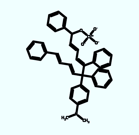 CN(C)c1ccc(C(C=CC=Cc2ccccc2)(C(=CC=CC(O[Cl+3]([O-])([O-])[O-])c2ccccc2)c2ccccc2)c2ccccc2)cc1